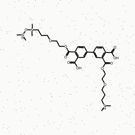 C[SiH](C)CCCOCCOC(=O)c1cc(-c2ccc(C(=O)OCCOCCC[Si](C)(C)O[SiH](C)C)c(C(=O)O)c2)ccc1C(=O)O